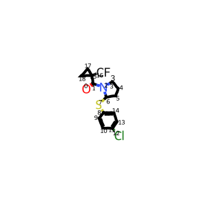 O=C(N1CCCC1Sc1ccc(Cl)cc1)C1(C(F)(F)F)CC1